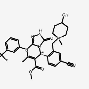 COC(=O)C1=C(C)N(c2cccc(C(F)(F)F)c2)c2n[nH]c(=O)n2[C@@H]1c1ccc(C#N)cc1C[N+]1(C)CCC(O)CC1